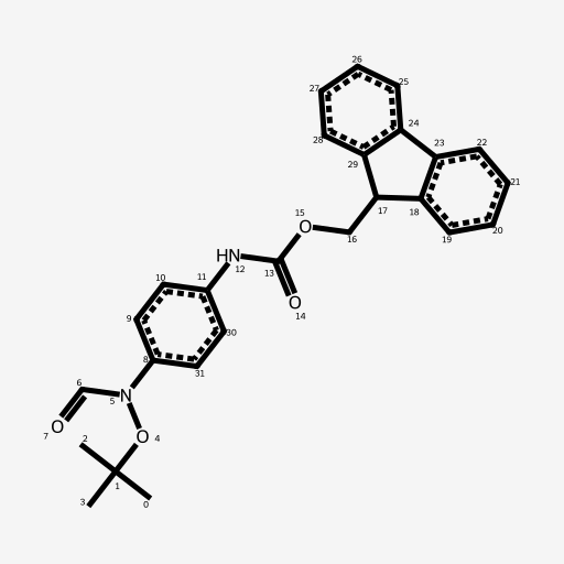 CC(C)(C)ON(C=O)c1ccc(NC(=O)OCC2c3ccccc3-c3ccccc32)cc1